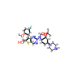 COc1ccc(F)cc1-c1c(CO)sc2cnc(N(CO)c3ccc(N4CCN(C)CC4)cc3OC(C)C)nc12